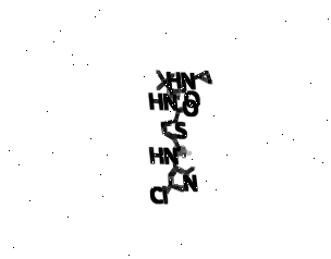 Cc1ncc(Cl)cc1N[C@@H](C)c1ccc(C(=O)N[C@@H](C(=O)NC2CC2)C(C)(C)C)s1